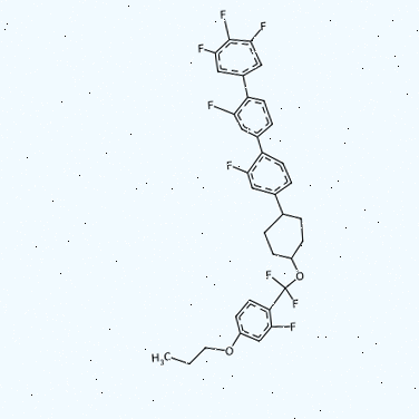 CCCOc1ccc(C(F)(F)OC2CCC(c3ccc(-c4ccc(-c5cc(F)c(F)c(F)c5)c(F)c4)c(F)c3)CC2)c(F)c1